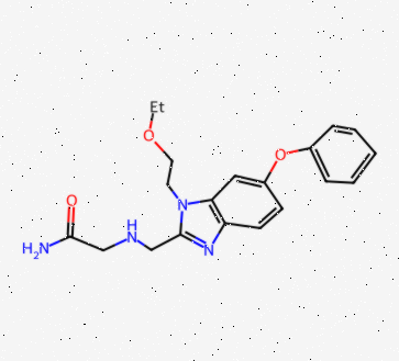 CCOCCn1c(CNCC(N)=O)nc2ccc(Oc3ccccc3)cc21